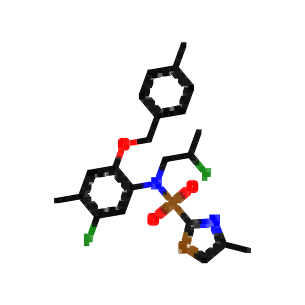 Cc1ccc(COc2cc(C)c(F)cc2N(CC(C)F)S(=O)(=O)c2nc(C)cs2)cc1